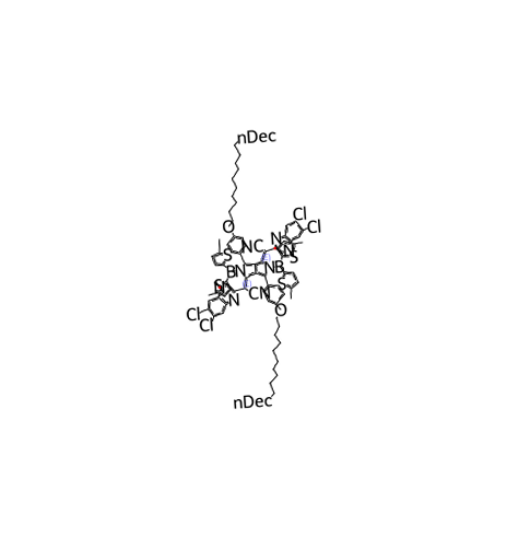 CCCCCCCCCCCCCCCCCCCCOc1ccc(-c2c3/c(=C(\C#N)c4cnc5cc(Cl)c(Cl)cc5n4)n(B(c4ccc(C)s4)c4ccc(C)s4)c(-c4ccc(OCCCCCCCCCCCCCCCCCCCC)cc4)c3/c(=C(\C#N)c3cnc4cc(Cl)c(Cl)cc4n3)n2B(c2ccc(C)s2)c2ccc(C)s2)cc1